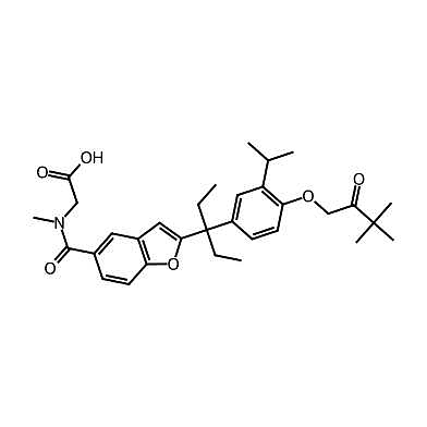 CCC(CC)(c1ccc(OCC(=O)C(C)(C)C)c(C(C)C)c1)c1cc2cc(C(=O)N(C)CC(=O)O)ccc2o1